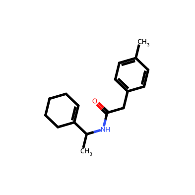 Cc1ccc(CC(=O)NC(C)C2=CCCCC2)cc1